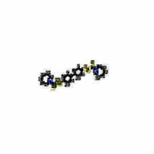 S=C(SSc1ccc(-c2ccc(SSC(=S)N3CCCCCC3)cc2)cc1)N1CCCCCC1